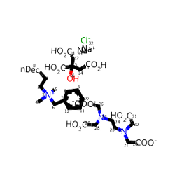 CCCCCCCCCCCC[N+](C)(C)Cc1ccccc1.O=C(O)CC(O)(CC(=O)O)C(=O)O.O=C([O-])CN(CCN(CC(=O)[O-])CC(=O)O)CC(=O)O.[Cl-].[Na+].[Na+]